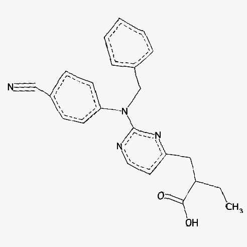 CCC(Cc1ccnc(N(Cc2ccccc2)c2ccc(C#N)cc2)n1)C(=O)O